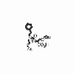 CC(=O)SCCN(CCc1ccccc1)C(=O)N[C@@H](COC(C)(C)C)C(=O)O